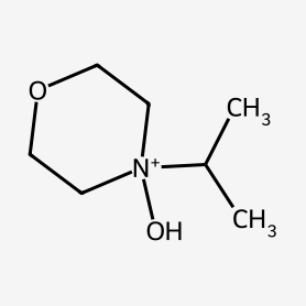 CC(C)[N+]1(O)CCOCC1